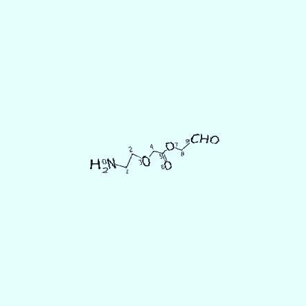 NCCOCC(=O)OCC=O